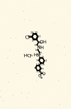 COC(=O)c1cccc(-c2cccc(NCCNC[C@H](O)c3cccc(Cl)c3)c2)c1.Cl